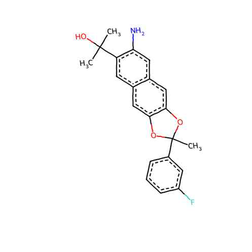 CC(C)(O)c1cc2cc3c(cc2cc1N)OC(C)(c1cccc(F)c1)O3